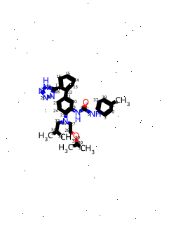 Cc1ccc(NC(=O)Nc2cc(-c3ccccc3-c3nnn[nH]3)ccc2N(CCOC(C)C)CC(C)C)cc1